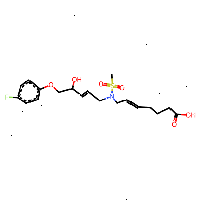 CS(=O)(=O)N(CC=CCCCC(=O)O)CC=CC(O)COc1ccc(F)cc1